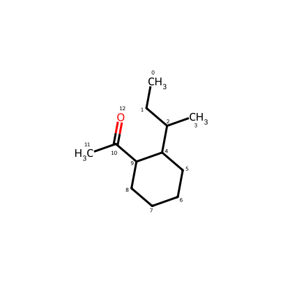 CCC(C)C1CCCCC1C(C)=O